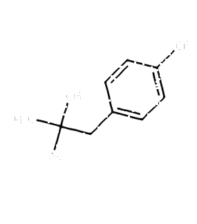 CC(=O)C(C)(C)Cc1ccc(C(F)(F)F)cc1